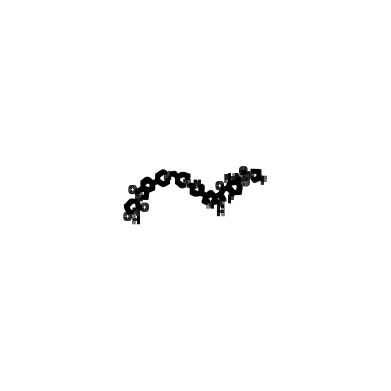 O=C1CCC(N2Cc3cc(C4CCN(CC5CCN(c6ccc(-c7cnc8[nH]cc(C(=O)c9c(F)ccc(NS(=O)(=O)N%10CC[C@@H](F)C%10)c9F)c8c7)cn6)CC5)CC4)ccc3C2=O)C(=O)N1